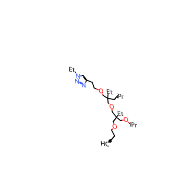 C#CCCOCC(CC)(COCC(CC)(COCCc1cn(CC)nn1)CC(C)C)COC(C)C